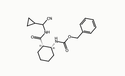 N#CC(NC(=O)[C@H]1CCCC[C@H]1NC(=O)OCc1ccccc1)C1CC1